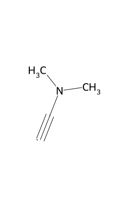 [C]#CN(C)C